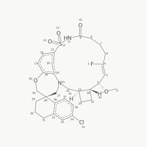 CO[C@H]1/C=C(\F)CCCC(=O)NS(=O)(=O)c2ccc3c(c2)N(C[C@@H]2CC[C@H]21)C[C@@]1(CCCc2cc(Cl)ccc21)CO3